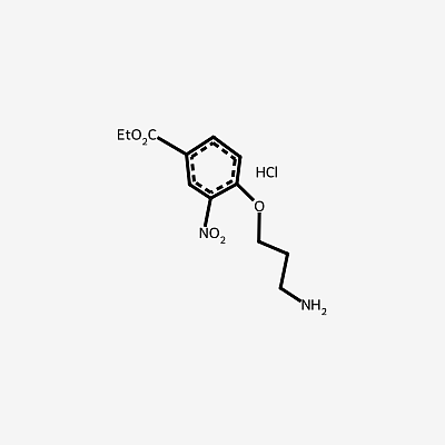 CCOC(=O)c1ccc(OCCCN)c([N+](=O)[O-])c1.Cl